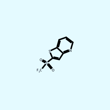 O=S(=O)(c1cc2ncccc2s1)C(F)(F)F